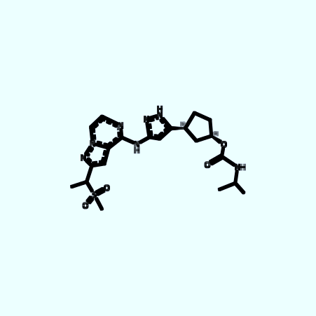 CC(C)NC(=O)O[C@@H]1CC[C@H](c2cc(Nc3nccn4nc(C(C)S(C)(=O)=O)cc34)n[nH]2)C1